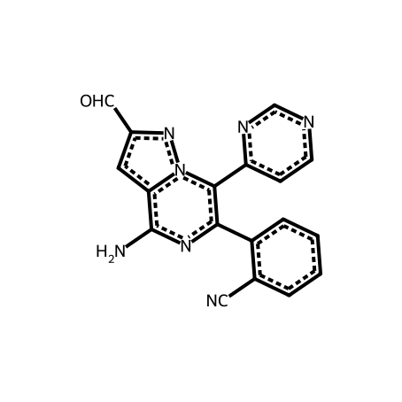 N#Cc1ccccc1-c1nc(N)c2cc(C=O)nn2c1-c1ccncn1